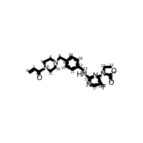 C=CC(=O)N1CCN(Cc2ccc(CNc3ncc(F)c(N4CCOC4=O)n3)cc2)CC1